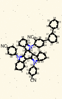 N#Cc1ccc(-n2c3ccccc3c3c2c2c4ccccc4n(-c4ccc(-c5cccc(-c6ccccc6)c5)cc4C#N)c2c2c4ccccc4n(-c4ccc(C#N)cc4)c32)cc1